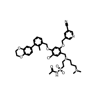 CC(=O)NS(=O)(=O)CCN(CCCN(C)C)Cc1cc(Cl)c(OCc2cccc(-c3ccc4c(c3)OCCO4)c2C)cc1OCc1cncc(C#N)c1